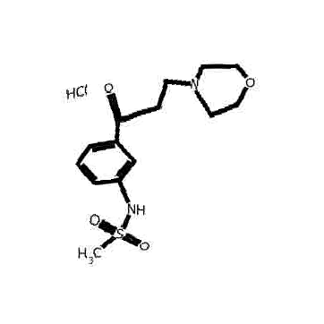 CS(=O)(=O)Nc1cccc(C(=O)CCN2CCOCC2)c1.Cl